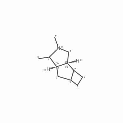 CC1[C@H]2CC3CCC3[C@H]2CN1C